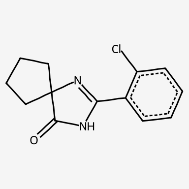 O=C1NC(c2ccccc2Cl)=NC12CCCC2